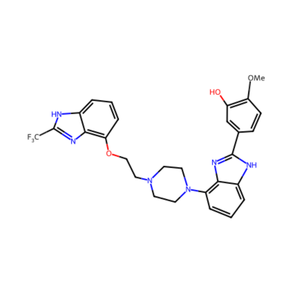 COc1ccc(-c2nc3c(N4CCN(CCOc5cccc6[nH]c(C(F)(F)F)nc56)CC4)cccc3[nH]2)cc1O